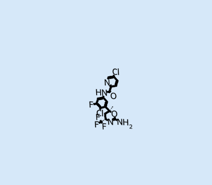 C[C@@]1(c2cc(NC(=O)c3ccc(Cl)cn3)cc(F)c2Cl)C[C@@H](C(F)(F)F)N=C(N)O1